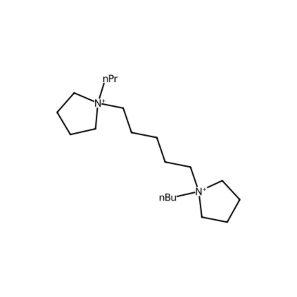 CCCC[N+]1(CCCCC[N+]2(CCC)CCCC2)CCCC1